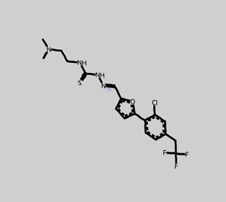 CN(C)CCNC(=S)N/N=C/c1ccc(-c2ccc(CC(F)(F)F)cc2Cl)o1